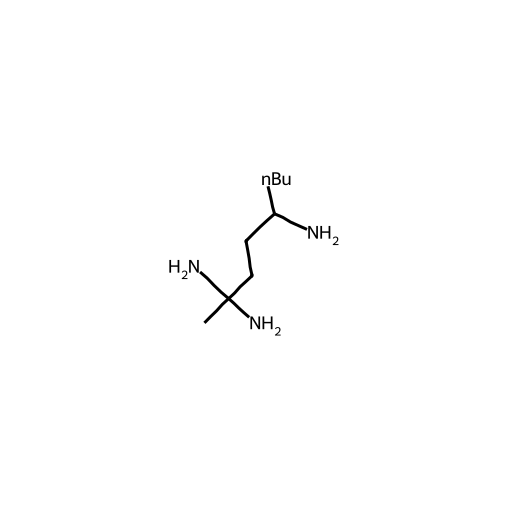 CCCCC(N)CCC(C)(N)N